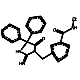 CCNC(=O)c1cccc(CN2C(=N)NC(c3ccccc3)(c3ccccc3)C2=O)c1